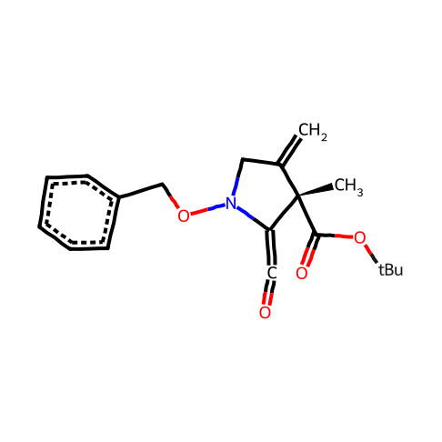 C=C1CN(OCc2ccccc2)C(=C=O)[C@@]1(C)C(=O)OC(C)(C)C